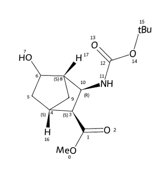 COC(=O)[C@H]1[C@@H]2CC(O)[C@@H](C2)[C@H]1NC(=O)OC(C)(C)C